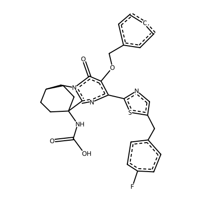 O=C(O)NC12CCC(CC1)Cn1c2nc(-c2ncc(Cc3ccc(F)cc3)s2)c(OCc2ccccc2)c1=O